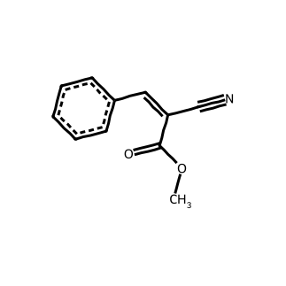 COC(=O)C(C#N)=Cc1ccccc1